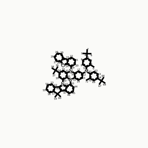 Cc1cc(C(C)(C)C)ccc1N(c1ccc2c(c1)N(c1cccc3c1oc1ccccc13)c1cc(C(C)(C)C)cc3c1B2c1cccc2c4c(n-3c12)-c1ccccc1C4(C)C)c1ccc(C(C)(C)C)cc1C